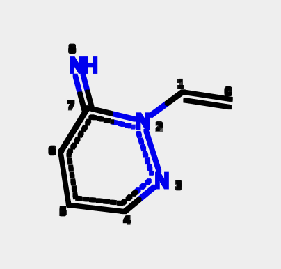 C=Cn1ncccc1=N